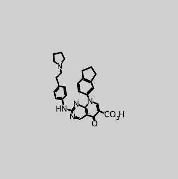 O=C(O)c1cn(-c2ccc3c(c2)CCC3)c2nc(Nc3ccc(CCN4CCCC4)cc3)ncc2c1=O